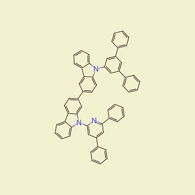 c1ccc(-c2cc(-c3ccccc3)cc(-n3c4ccccc4c4cc(-c5ccc6c7ccccc7n(-c7cc(-c8ccccc8)cc(-c8ccccc8)n7)c6c5)ccc43)c2)cc1